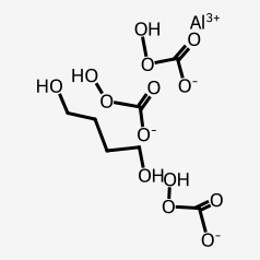 O=C([O-])OO.O=C([O-])OO.O=C([O-])OO.OCCCCO.[Al+3]